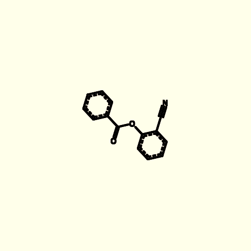 N#Cc1ccccc1OC(=O)c1ccccc1